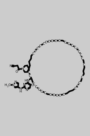 Cn1cc(Nc2ncc(Cl)c(NC3CCCCCCCCCCCCCCCCCCCCCCCCCCCCCCCCCCCCCCCCCCCCCCCCC4(CC3)CCN(C(=O)CC#N)CC4)n2)cn1